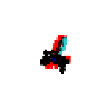 CC(C)(C)c1cc(C=[N+]([Co])[N+](=Cc2cc(C(C)(C)C)cc(C(C)(C)C)c2O)C2CCCCC2)c(O)c(C(C)(C)C)c1.O=C([O-])C(F)(F)F.O=C([O-])C(F)(F)F